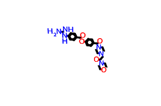 N=C(N)Nc1ccc(C(=O)Oc2ccc(C(=O)N3CCN(CC(=O)N4CCOCC4)CC3)cc2)cc1